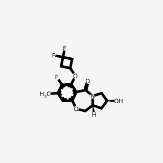 Cc1cc2c(c(OC3CC(F)(F)C3)c1F)C(=O)N1C[C@@H](O)C[C@@H]1CO2